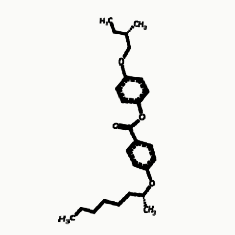 CCCCCC[C@@H](C)Oc1ccc(C(=O)Oc2ccc(OC[C@@H](C)CC)cc2)cc1